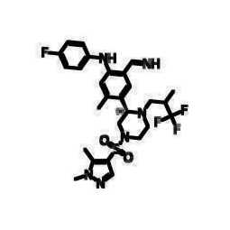 Cc1cc(Nc2ccc(F)cc2)c(C=N)cc1[C@@H]1CN(S(=O)(=O)c2cnn(C)c2C)CCN1CC(C)C(F)(F)F